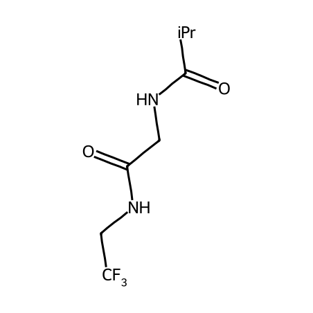 CC(C)C(=O)NCC(=O)NCC(F)(F)F